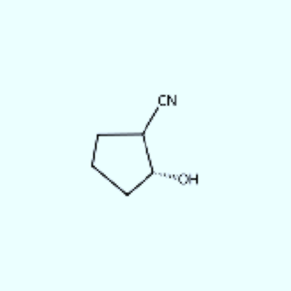 N#CC1CCC[C@H]1O